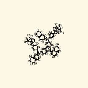 CC1(C)OB(c2ccc(N(c3ccc4c(c3)CCCC4)c3ccc4c(c3)c3cc(N(c5ccc(B6OC(C)(C)C(C)(C)O6)cc5)c5ccc6c(c5)CCCC6)ccc3n4-c3cccc4ccccc34)cc2)OC1(C)C